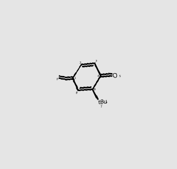 C=C1C=CC(=O)C(C(C)(C)C)=C1